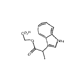 CC(C(=O)OCC(=O)O)c1c[nH]c2ccccc12